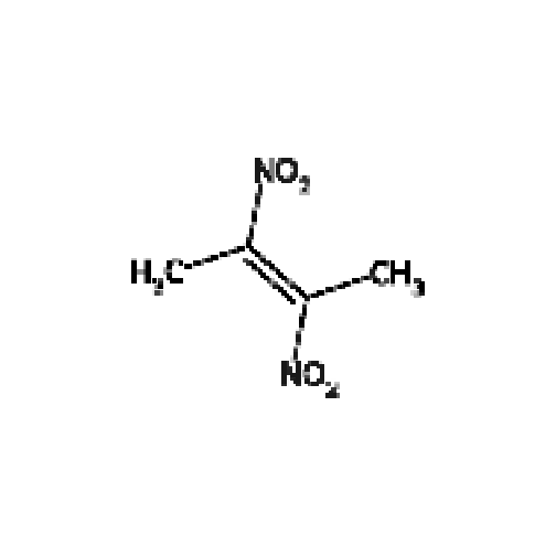 CC(=C(C)[N+](=O)[O-])[N+](=O)[O-]